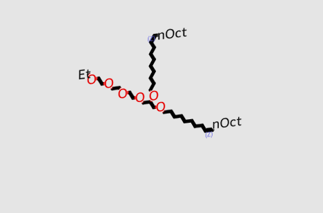 CCCCCCCC/C=C\CCCCCCCCOCC(COCCOCCOCCOCC)OCCCCCCCC/C=C\CCCCCCCC